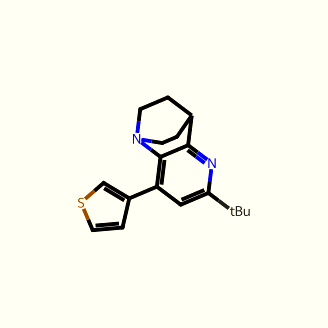 CC(C)(C)c1cc(-c2ccsc2)c2c(n1)C1CCN2CC1